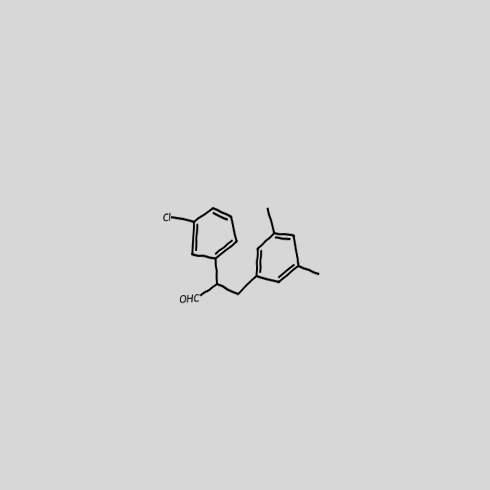 Cc1cc(C)cc(CC(C=O)c2cccc(Cl)c2)c1